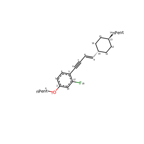 CCCCCOc1ccc(C#CC=C[C@H]2CC[C@H](CCCCC)CC2)c(F)c1